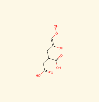 O=C(O)CC(C/C(O)=C/OO)C(=O)O